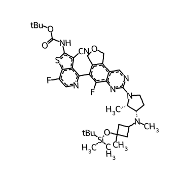 C[C@H]1[C@@H](N(C)C2CC(C)(O[Si](C)(C)C(C)(C)C)C2)CCN1c1ncc2c3c(c(-c4ncc(F)c5sc(NC(=O)OC(C)(C)C)c(C#N)c45)c(F)c2n1)COC3